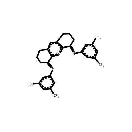 FC(F)(F)c1cc(N=C2CCCc3cc4c(nc32)C(=Nc2cc(C(F)(F)F)cc(C(F)(F)F)c2)CCC4)cc(C(F)(F)F)c1